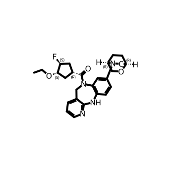 CCO[C@H]1C[C@@H](C(=O)N2Cc3cccnc3Nc3ccc(N4C[C@H]5CC[C@@H]4CO5)cc32)C[C@@H]1F